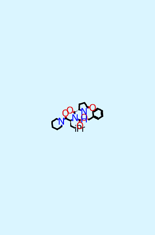 CC(C)C[C@@H](C(=O)N1CCCCC1)N(C(=O)OCc1ccccc1)C(=O)[C@@H]1CCC(=O)N1